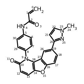 C=CC(=O)Nc1ccc(-n2c(=O)ccc3oc4ccc(-c5ccn(C)n5)cc4c32)cc1